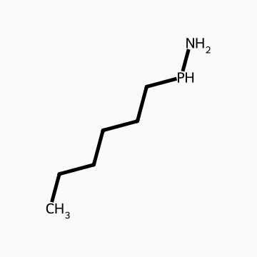 CCCCCCPN